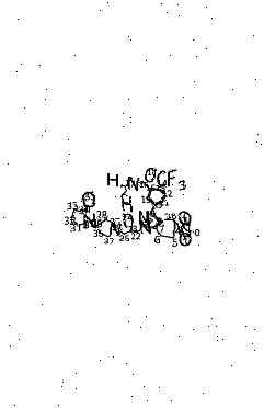 CS(=O)(=O)N1CCc2c(c(-c3ccc(C(F)(F)F)c(C(N)=O)c3)nn2CC(O)CN2CCC(N3CCCC3=O)CC2)C1